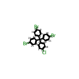 Clc1ccc(C(c2ccc(Br)cc2)(c2ccc(Br)cc2)c2ccc(Br)cc2)cc1